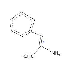 N/C([C]=O)=C/c1ccccc1